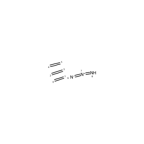 C=C.C=C.C=C.[N-]=[N+]=N